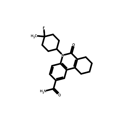 CC1(F)CCC(n2c(=O)c3c(c4cc(C(N)=O)ccc42)CCCC3)CC1